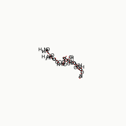 Cc1csc2c(OC(=O)N(C)CCN(C)C(=O)OCc3ccc(NC(=O)[C@@H](N)CCCNC(N)=O)cc3)cc3c(c12)[C@H](CCl)CN3C(=O)c1cc2cc(NC(=O)c3cc4cc(OCCN5CCCC5)ccc4[nH]3)ccc2[nH]1